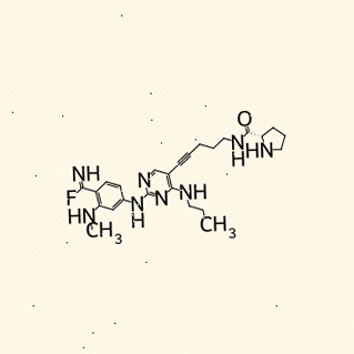 CCCNc1nc(Nc2ccc(C(=N)F)c(NC)c2)ncc1C#CCCCNC(=O)[C@@H]1CCCN1